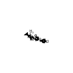 Cc1c(C2CC2)nc2cnc(-n3ccc(OCc4ccc(Cl)cc4)cc3=O)cn12